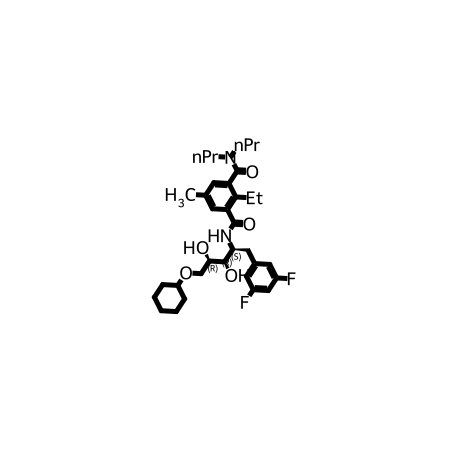 CCCN(CCC)C(=O)c1cc(C)cc(C(=O)N[C@@H](Cc2cc(F)cc(F)c2)[C@@H](O)[C@H](O)COC2CCCCC2)c1CC